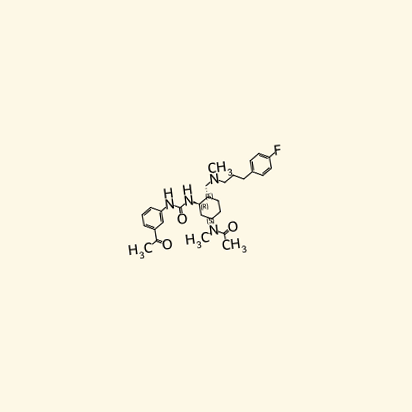 CC(=O)c1cccc(NC(=O)N[C@@H]2C[C@@H](N(C)C(C)=O)CC[C@H]2CN(C)CCCc2ccc(F)cc2)c1